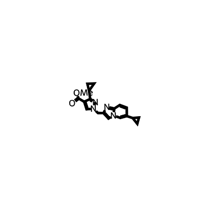 COC(=O)c1cn(Cc2cn3cc(C4CC4)ccc3n2)nc1C1CC1